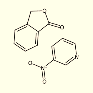 O=C1OCc2ccccc21.O=[N+]([O-])c1cccnc1